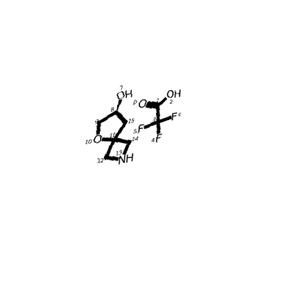 O=C(O)C(F)(F)F.O[C@@H]1COC2(CNC2)C1